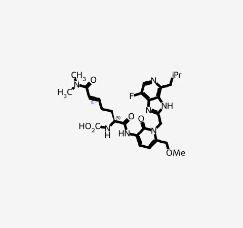 COCc1ccc(NC(=O)[C@H](CC/C=C/C(=O)N(C)C)NC(=O)O)c(=O)n1Cc1nc2c(F)cnc(CC(C)C)c2[nH]1